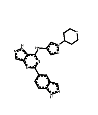 c1nn(C2CCOCC2)cc1Nc1nc(-c2ccc3[nH]ncc3c2)nc2cn[nH]c12